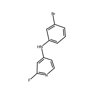 Fc1cc(Nc2cccc(Br)c2)ccn1